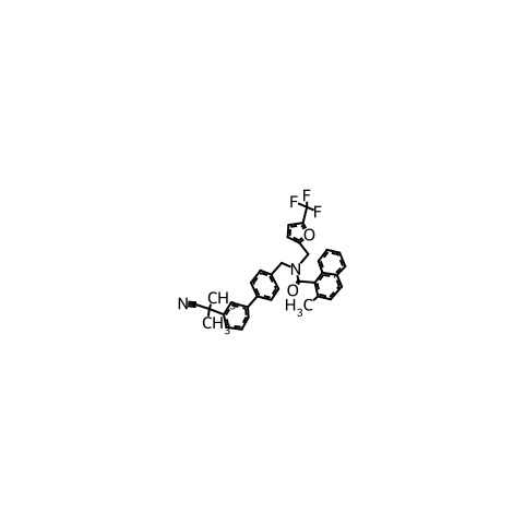 Cc1ccc2ccccc2c1C(=O)N(Cc1ccc(-c2cccc(C(C)(C)C#N)c2)cc1)Cc1ccc(C(F)(F)F)o1